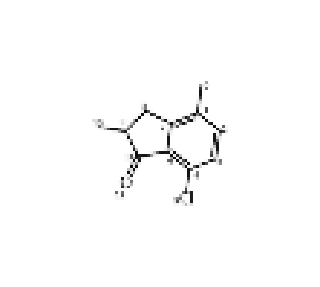 Cc1ccc(Cl)c2c1CC(C)C2=O